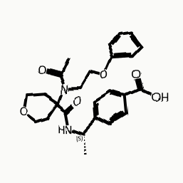 CC(=O)N(CCOc1ccccc1)C1(C(=O)N[C@@H](C)c2ccc(C(=O)O)cc2)CCOCC1